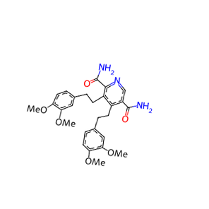 COc1ccc(CCc2c(C(N)=O)cnc(C(N)=O)c2CCc2ccc(OC)c(OC)c2)cc1OC